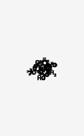 CC(C)(C)OC(=O)[C@@H]1S[C@@H](C(=O)O)[C@H](c2ccccc2)N1C(C(=O)O)c1cccc(CC=O)c1NC(N)=O